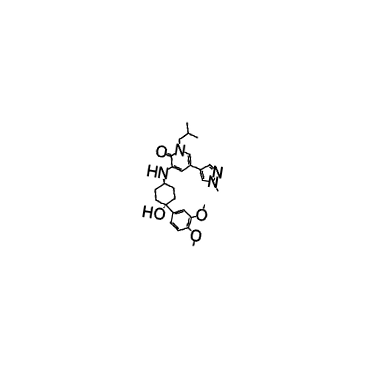 COc1ccc([C@]2(O)CC[C@H](Nc3cc(-c4cnn(C)c4)cn(CC(C)C)c3=O)CC2)cc1OC